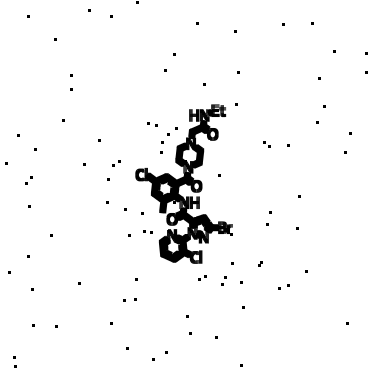 CCNC(=O)CN1CCN(C(=O)c2cc(Cl)cc(C)c2NC(=O)c2cc(Br)nn2-c2ncccc2Cl)CC1